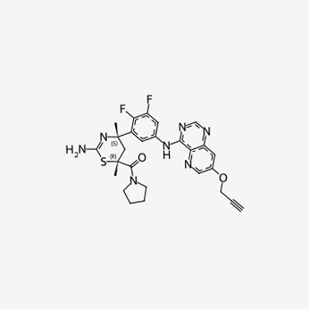 C#CCOc1cnc2c(Nc3cc(F)c(F)c([C@]4(C)C[C@](C)(C(=O)N5CCCC5)SC(N)=N4)c3)ncnc2c1